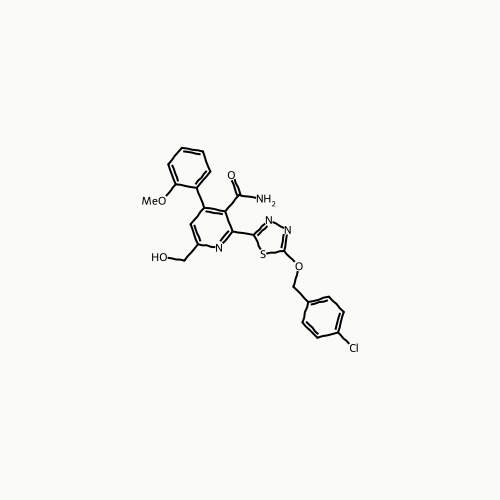 COc1ccccc1-c1cc(CO)nc(-c2nnc(OCc3ccc(Cl)cc3)s2)c1C(N)=O